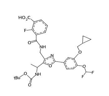 CC(NC(=O)OC(C)(C)C)c1oc(-c2ccc(OC(F)F)c(OCC3CC3)c2)nc1CNC(=O)c1cccc(C(=O)O)c1F